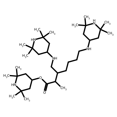 CC(C(=O)OC1CC(C)(C)NC(C)(C)C1)C(CCCCNC1CC(C)(C)NC(C)(C)C1)CNC1CC(C)(C)NC(C)(C)C1